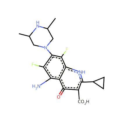 CC1CN(c2c(F)c(N)c3c(=O)c(C(=O)O)c(C4CC4)[nH]c3c2F)CC(C)N1